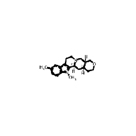 Cc1ccc2c(c1)c1c(n2C)[C@@H]2C[C@@H]3CCOC[C@H]3CN2CC1